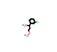 [CH2]C(CCOC)c1cccc(Cl)c1